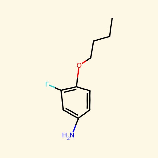 CCCCOc1ccc(N)cc1F